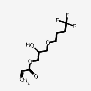 C=CC(=O)OCC(O)COCCCC(F)(F)F